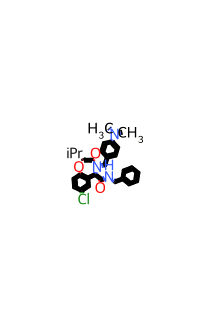 CC(C)C1Oc2ccc(Cl)cc2C(C(=O)NCc2ccccc2)N(Cc2ccc(N(C)C)cc2)C1=O